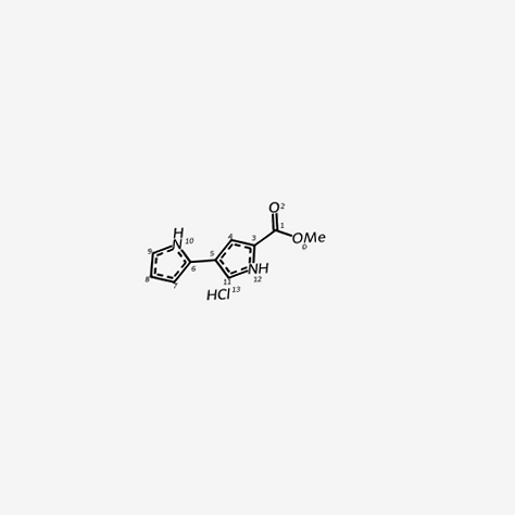 COC(=O)c1cc(-c2ccc[nH]2)c[nH]1.Cl